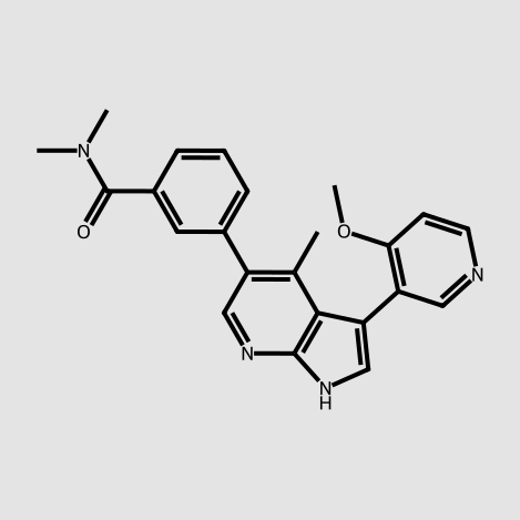 COc1ccncc1-c1c[nH]c2ncc(-c3cccc(C(=O)N(C)C)c3)c(C)c12